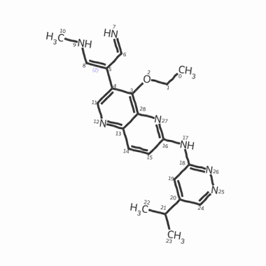 CCOc1c(/C(C=N)=C/NC)cnc2ccc(Nc3cc(C(C)C)cnn3)nc12